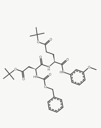 COc1cccc(NC(=O)[C@H](CCC(=O)OC(C)(C)C)NC(=O)[C@H](CC(=O)OC(C)(C)C)NC(=O)OCc2ccccc2)c1